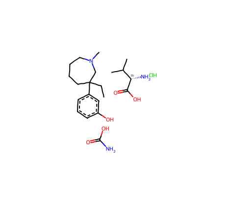 CC(C)[C@H](N)C(=O)O.CCC1(c2cccc(O)c2)CCCCN(C)C1.Cl.NC(=O)O